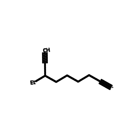 [C]#CCCCCC(C#C)CC